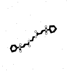 O=C(C=CS(=O)(=O)c1ccccc1)OCCOC(=O)C=CS(=O)(=O)c1ccccc1